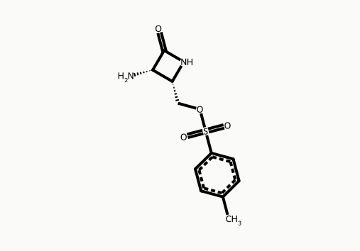 Cc1ccc(S(=O)(=O)OC[C@H]2NC(=O)[C@H]2N)cc1